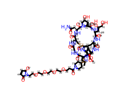 CC[C@H](C)[C@@H]1NC(=O)CNC(=O)[C@@H]2Cc3c([nH]c4c(CSC5CCN(C(=O)CCOCCOCCOCCOCCN6C(=O)C=CC6=O)CC5)c(OC)ccc34)[S+]([O-])C[C@H](NC(=O)CNC1=O)C(=O)N[C@@H](CC(N)=O)C(=O)N1C[C@H](O)C[C@H]1C(=O)N[C@@H]([C@@H](C)[C@@H](O)CO)C(=O)N2